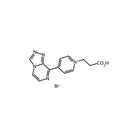 O=C(O)CC[n+]1ccc(-c2nccn3cnnc23)cc1.[Br-]